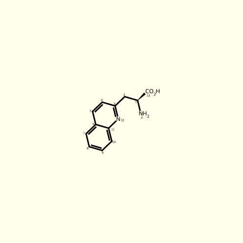 N[C@@H](Cc1ccc2ccccc2n1)C(=O)O